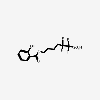 O=C(OCCCCC(F)(F)C(F)(F)S(=O)(=O)O)c1ccccc1O